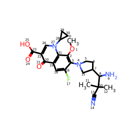 COc1c(N2CCC(C(N)C(C)(C)C#N)C2)c(F)cc2c(=O)c(C(=O)O)cn(C3CC3)c12